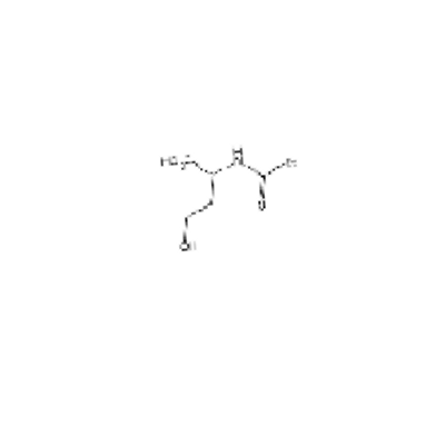 CCC(=O)NC(CCO)C(=O)O